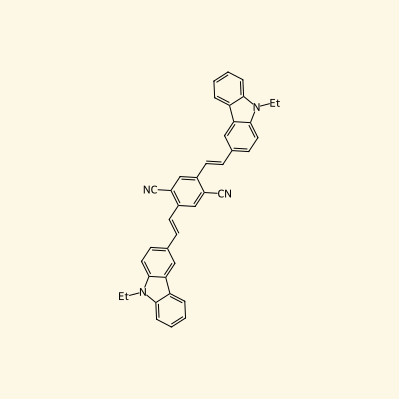 CCn1c2ccccc2c2cc(C=Cc3cc(C#N)c(C=Cc4ccc5c(c4)c4ccccc4n5CC)cc3C#N)ccc21